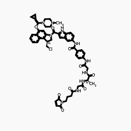 C[C@H](NC(=O)CNC(=O)CCCN1C(=O)C=CC1=O)C(=O)NCC(=O)Nc1ccc(C(=O)Nc2ccc3[nH]c(C(=O)N4C[C@@H](CCl)c5c4cc(OC(=C4CC4)N4CCN(C)CC4)c4ccccc54)cc3c2)cc1